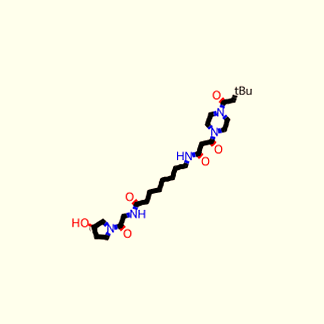 CC(C)(C)CC(=O)N1CCN(C(=O)CC(=O)NCCCCCCCC(=O)NCC(=O)N2CC[C@@H](O)C2)CC1